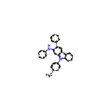 Cc1ccc(-n2c3ccccc3c3cc(-c4ccccc4)c(Nc4ccccc4)cc32)cc1